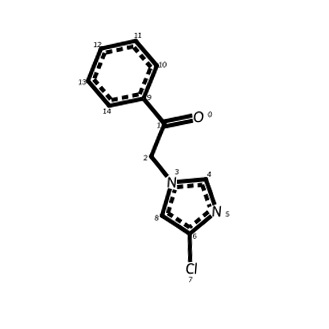 O=C(Cn1cnc(Cl)c1)c1ccccc1